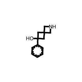 OC1(c2ccccc2)CC2(CNC2)C1